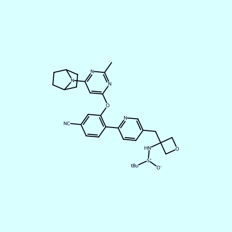 Cc1nc(Oc2cc(C#N)ccc2-c2ccc(CC3(N[S+]([O-])C(C)(C)C)COC3)cn2)cc(N2C3CCC2CC3)n1